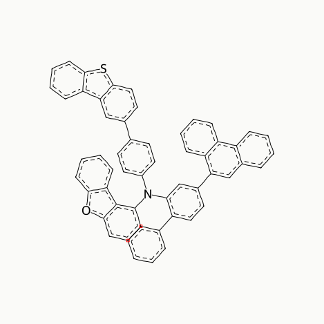 c1ccc(-c2ccc(-c3cc4ccccc4c4ccccc34)cc2N(c2ccc(-c3ccc4sc5ccccc5c4c3)cc2)c2cccc3oc4ccccc4c23)cc1